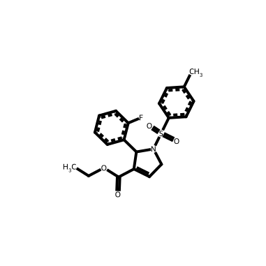 CCOC(=O)C1=CCN(S(=O)(=O)c2ccc(C)cc2)C1c1ccccc1F